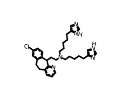 Clc1ccc2c(c1)CCc1cccnc1C2CCN(CCCCCc1c[nH]cn1)CCCCCc1cnc[nH]1